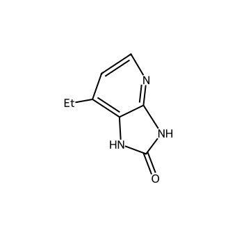 CCc1ccnc2[nH]c(=O)[nH]c12